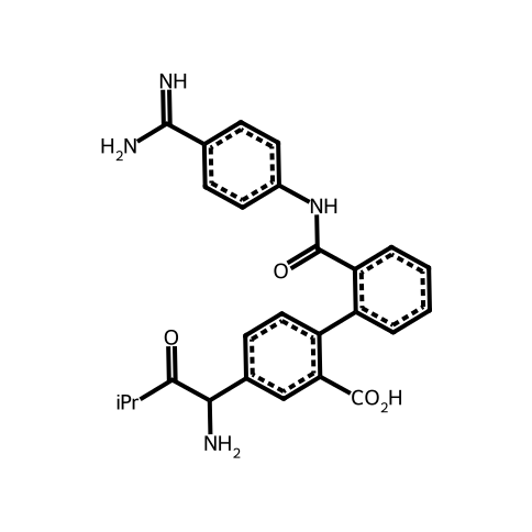 CC(C)C(=O)C(N)c1ccc(-c2ccccc2C(=O)Nc2ccc(C(=N)N)cc2)c(C(=O)O)c1